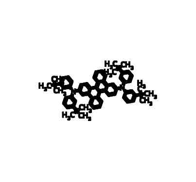 CC(C)(C)c1cccc(N(c2cccc(C(C)(C)C)c2)c2ccc3c(c2)c2ccccc2c2c4ccc(N(c5cccc(C(C)(C)C)c5)c5cccc(C(C)(C)C)c5)cc4c4ccccc4c32)c1